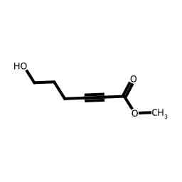 COC(=O)C#CCCCO